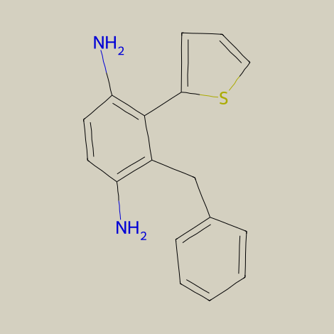 Nc1ccc(N)c(-c2cccs2)c1Cc1ccccc1